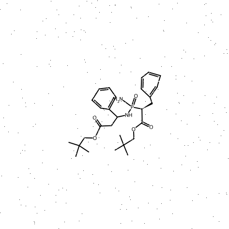 CC(C)(C)COC(=O)CC(NP(N)(=O)[C@@H](Cc1ccccc1)C(=O)OCC(C)(C)C)c1ccccc1